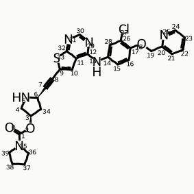 O=C(O[C@H]1CN[C@@H](C#Cc2cc3c(Nc4ccc(OCc5ccccn5)c(Cl)c4)ncnc3s2)C1)N1CCCC1